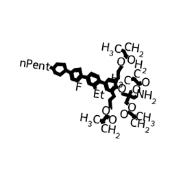 C=C(C)C(=O)OCCCc1cc(-c2ccc(-c3ccc(C4CCC(CCCCC)CC4)cc3F)cc2CC)cc(CCCOC(=O)C(=C)C)c1OCC(CN)(COC(=O)C(=C)C)COC(=O)C(=C)C